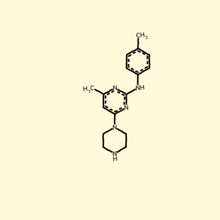 Cc1ccc(Nc2nc(C)cc(N3CCNCC3)n2)cc1